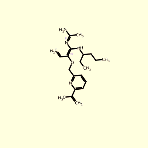 C=C/C(OCc1cccc(C(=C)C)n1)=C(\N=C(/C)N)NC(CC)CCC